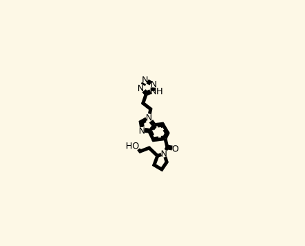 O=C(c1ccc2c(c1)ncn2CCc1nnn[nH]1)N1CCCC1CCO